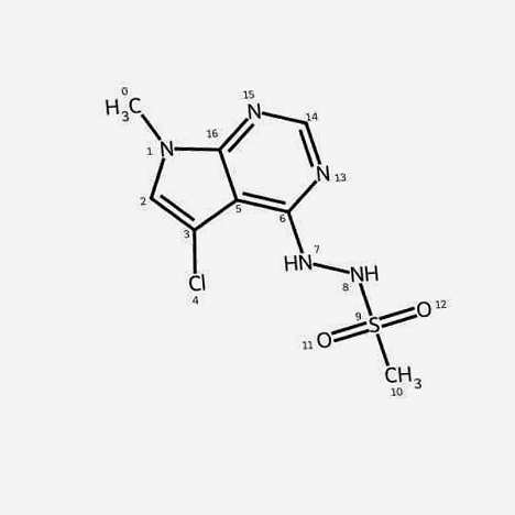 Cn1cc(Cl)c2c(NNS(C)(=O)=O)ncnc21